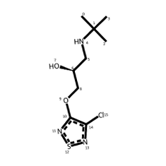 CC(C)(C)NC[C@H](O)COc1nsnc1Cl